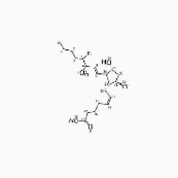 CCCCC(F)C(O)/C=C/[C@@H]1[C@@H](C/C=C\CCCC(=O)O)[C@H](Cl)C[C@H]1O